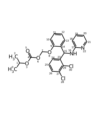 CC(C)OC(=O)OCOc1ccccc1C(Nc1ccccn1)c1cccc(Cl)c1Cl